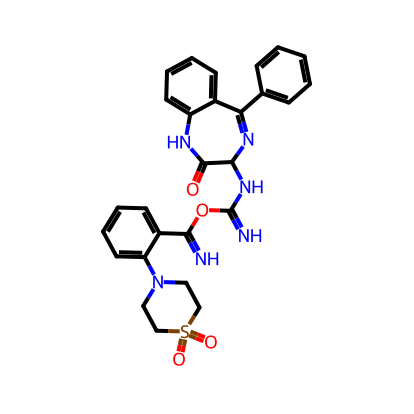 N=C(NC1N=C(c2ccccc2)c2ccccc2NC1=O)OC(=N)c1ccccc1N1CCS(=O)(=O)CC1